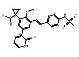 COc1c(C=Cc2ccc(NS(C)(=O)=O)cc2)cc(-c2ccc[nH]c2=O)cc1C1(C(F)F)CC1